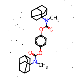 CN(C(=O)Oc1ccc(OC(=O)N(C)C23CC4CC(CC(C4)C2)C3)cc1)C12CC3CC(CC(C3)C1)C2